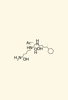 CC(=O)C[C@H](NC(O)CC[C@H](C)C1CCCCC1)C(O)NCCCCC(N)O